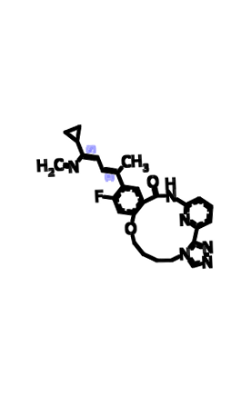 C=N/C(=C\C=C(/C)c1cc2c(cc1F)OCCCCn1cnnc1-c1cccc(n1)NC2=O)C1CC1